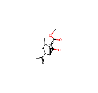 C=C(C)C1CC2(C)C(C)C(=O)C1CC2C(=O)OC